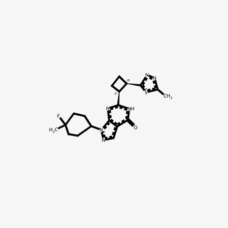 Cc1nnc([C@@H]2CC[C@@H]2c2nc3c(cnn3C3CCC(C)(F)CC3)c(=O)[nH]2)s1